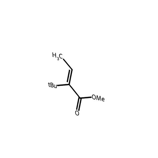 CC=C(C(=O)OC)C(C)(C)C